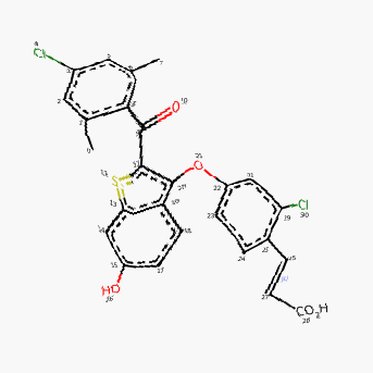 Cc1cc(Cl)cc(C)c1C(=O)c1sc2cc(O)ccc2c1Oc1ccc(/C=C/C(=O)O)c(Cl)c1